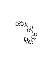 CCC(C)(C)OOC(C)(C)CC(C)OC(=O)C=CC(=O)OC(C)CC(C)(C)OOC(C)(C)CC